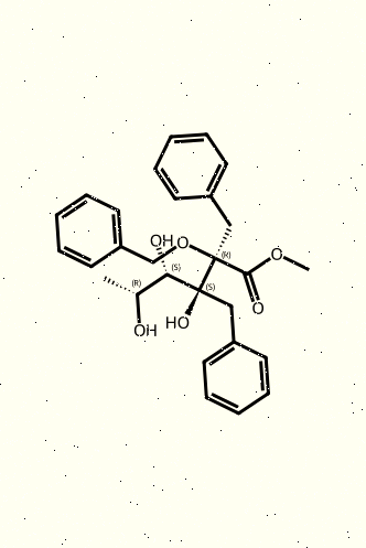 COC(=O)[C@](Cc1ccccc1)(OCc1ccccc1)[C@](O)(Cc1ccccc1)[C@@H](O)[C@@H](C)O